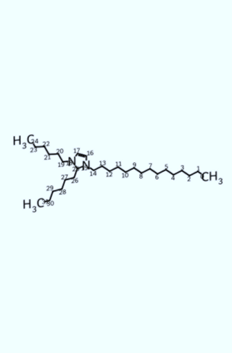 CCCCCCCCCCCCCCCN1C=CN(CCCCCC)C1CCCCCC